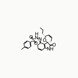 CCC[C@@H]1C=CC[C@]2(O1)C(=O)NC1=C2C(=NNS(=O)(=O)c2ccc(C)cc2)CC=C1